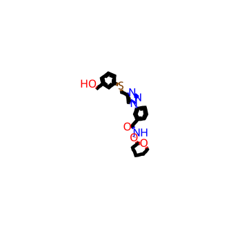 O=C(NOC1CCCCO1)c1cccc(-n2cc(CSc3cccc(CO)c3)nn2)c1